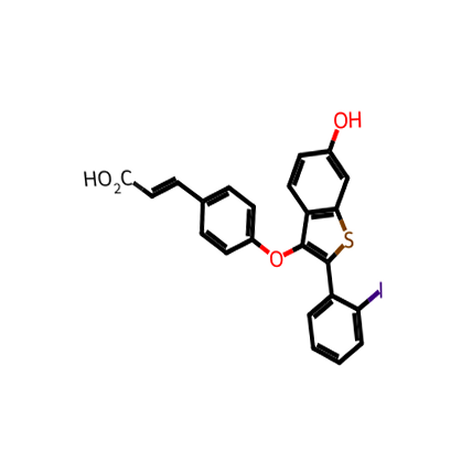 O=C(O)/C=C/c1ccc(Oc2c(-c3ccccc3I)sc3cc(O)ccc23)cc1